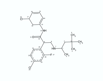 CC(CC(C)(C)C)NCC(C(=O)NC1=CC=CC(Cl)C1)c1ccc(Cl)cc1F